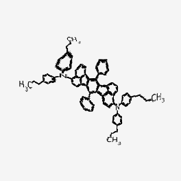 CCCc1ccc(N(c2ccc(CCC)cc2)c2ccc3c4c(-c5ccccc5)c5c6ccc(N(c7ccc(CCC)cc7)c7ccc(CCC)cc7)c7cccc(c5c(-c5ccccc5)c4c4cccc2c43)c76)cc1